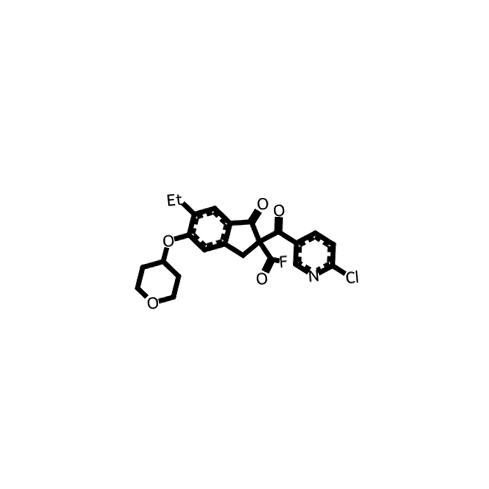 CCc1cc2c(cc1OC1CCOCC1)CC(C(=O)F)(C(=O)c1ccc(Cl)nc1)C2=O